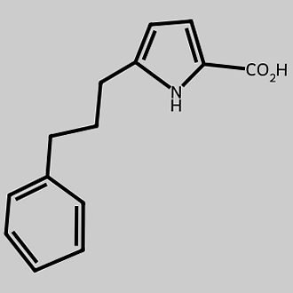 O=C(O)c1ccc(CCCc2ccccc2)[nH]1